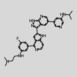 CC(C)Nc1cncc(-c2cnc3[nH]nc(-c4cc5c(-c6cc(F)cc(NCCN(C)C)c6)nccc5[nH]4)c3c2)c1